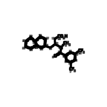 CN(C(=O)c1cc(C(F)(F)F)cc(C(F)(F)F)c1)C(CC(=O)O)Cc1ccc2ccccc2c1